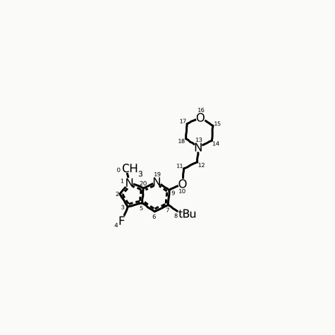 Cn1cc(F)c2cc(C(C)(C)C)c(OCCN3CCOCC3)nc21